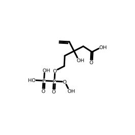 C=CC(O)(CCOP(=O)(OO)P(=O)(O)O)CC(=O)O